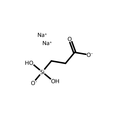 O=C([O-])CC[Si]([O-])(O)O.[Na+].[Na+]